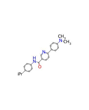 CC(C)c1ccc(NC(=O)c2ccc(-c3ccc(N(C)C)cc3)nc2)cc1